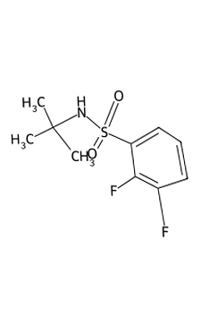 CC(C)(C)NS(=O)(=O)c1cccc(F)c1F